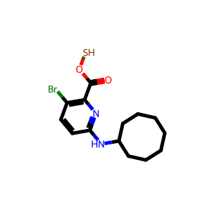 O=C(OS)c1nc(NC2CCCCCCC2)ccc1Br